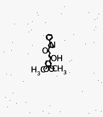 COc1ccc(/C(O)=C/CC(=O)C2=CC(c3ccccc3)=NC2)cc1OC